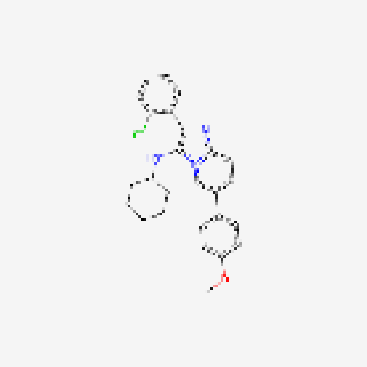 COc1ccc(-c2ccc3nc(-c4ccccc4Cl)c(NC4CCCCC4)n3c2)cc1